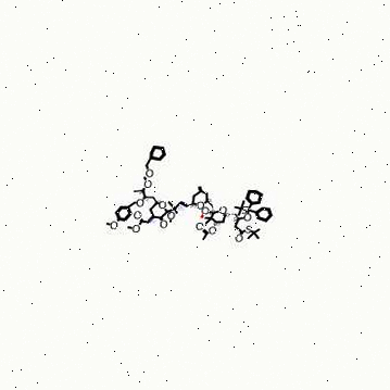 C=C1C[C@@H](C[C@]2(OC)O[C@H](C[C@H](CC(=O)SC(C)(C)C)O[Si](c3ccccc3)(c3ccccc3)C(C)(C)C)C[C@H](OC(C)=O)C2(C)C)O[C@@H](/C=C/C(C)(C)[C@]2(OC)O[C@H](C[C@@H](OCc3ccc(OC)cc3)[C@@H](C)OCOCc3ccccc3)C/C(=C\C(=O)OC)C2=O)C1